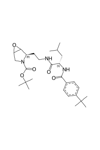 CC(C)C[C@H](NC(=O)c1ccc(C(C)(C)C)cc1)C(=O)NCC[C@@H]1C2OC2CN1C(=O)OC(C)(C)C